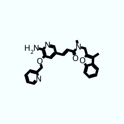 Cc1c(CN(C)C(=O)C=Cc2cnc(N)c(OCc3ccccn3)c2)oc2ccccc12